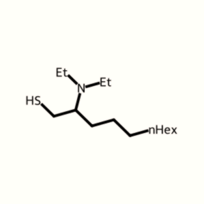 CCCCCCCCCC(CS)N(CC)CC